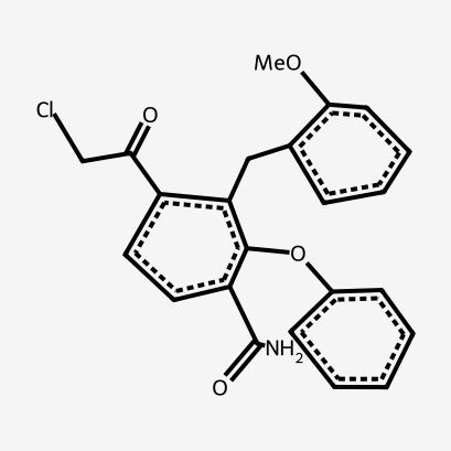 COc1ccccc1Cc1c(C(=O)CCl)ccc(C(N)=O)c1Oc1ccccc1